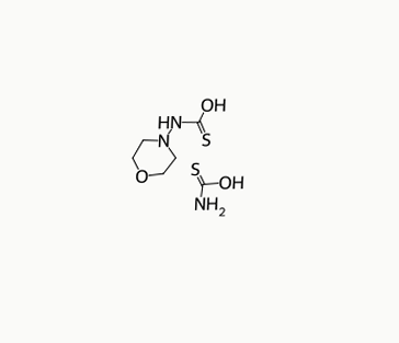 NC(O)=S.OC(=S)NN1CCOCC1